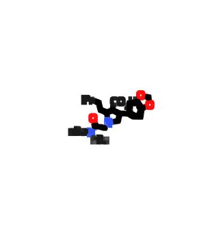 CCCCN(CCCC)C(=O)CN1CC(c2ccc3c(c2)OCO3)C(C(=O)O)C1CCC(C)C